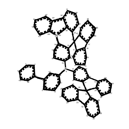 c1ccc(-c2cccc(N(c3ccc4c(c3)C3(c5ccccc5-c5ccccc53)c3ccccc3-4)c3ccc4c(c3)C3(c5ccccc5-c5ccccc53)c3cccc5c6ccccc6n-4c35)c2)cc1